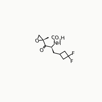 C[C@]1(C(=O)[C@H](CC2CC(F)(F)C2)NC(=O)O)CO1